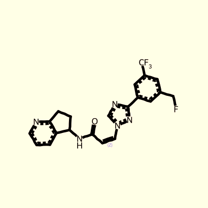 O=C(/C=C\n1cnc(-c2cc(CF)cc(C(F)(F)F)c2)n1)NC1CCc2ncccc21